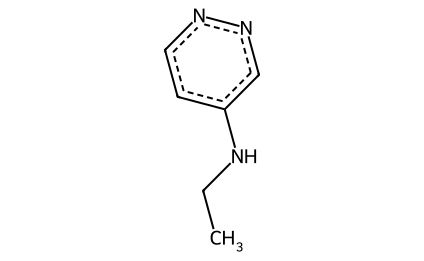 CCNc1ccnnc1